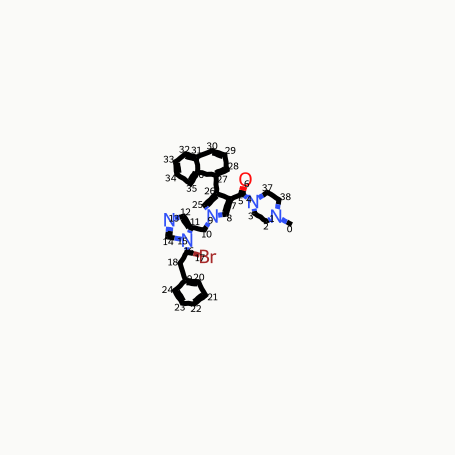 CN1CCN(C(=O)c2cn(Cc3cncn3C(Br)Cc3ccccc3)cc2-c2cccc3ccccc23)CC1